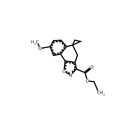 CCOC(=O)c1noc2c1CC1(CC1)c1ccc(OC)cc1-2